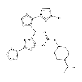 CC(C)N1CCC(NC(=O)Oc2cc(-c3cccs3)nn2Cc2ncsc2-c2ccc(Cl)s2)CC1